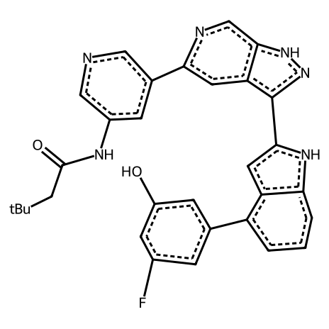 CC(C)(C)CC(=O)Nc1cncc(-c2cc3c(-c4cc5c(-c6cc(O)cc(F)c6)cccc5[nH]4)n[nH]c3cn2)c1